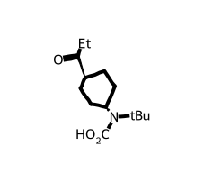 CCC(=O)[C@H]1CC[C@H](N(C(=O)O)C(C)(C)C)CC1